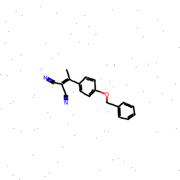 CC(=C(C#N)C#N)c1ccc(OCc2ccccc2)cc1